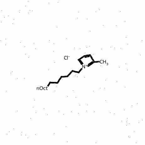 CCCCCCCCCCCCCC[n+]1cccc(C)c1.[Cl-]